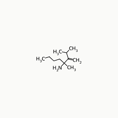 C=C(C(C)C)C(C)(N)CCCC